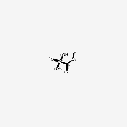 COC(=O)P(=O)(O)O